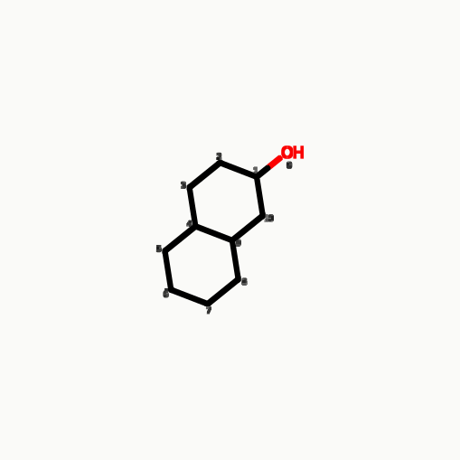 OC1CCC2C[CH]CCC2C1